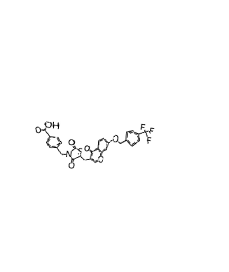 O=C(O)c1ccc(CN2C(=O)SC(Cc3coc4cc(OCc5ccc(C(F)(F)F)cc5)ccc4c3=O)C2=O)cc1